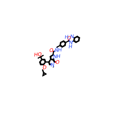 Cn1cc(-c2cc(C(C)(C)O)ccc2OCC2CC2)c2cc(C(=O)NCc3ccc(C(=O)Nc4ccccc4N)cc3)[nH]c2c1=O